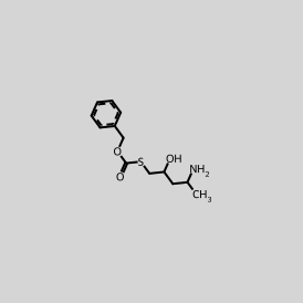 CC(N)CC(O)CSC(=O)OCc1ccccc1